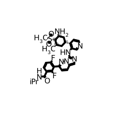 CC(C)NC(=O)c1ccc(F)c(-c2ccc3cnc(Nc4cnccc4[C@H]4C[C@@H](N)[C@@H](S(C)(=O)=O)[C@@H](C)C4)n3n2)c1F